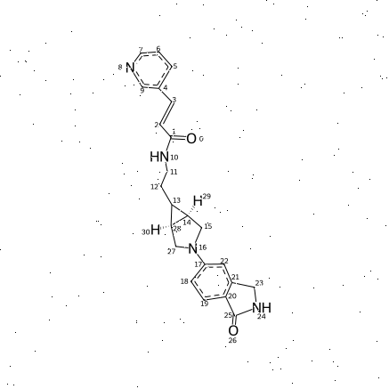 O=C(/C=C/c1cccnc1)NCCC1[C@H]2CN(c3ccc4c(c3)CNC4=O)C[C@@H]12